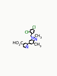 Cc1cc(-c2cc(C(=O)O)ccn2)cc2c1nc(C)n2Cc1ccc(Cl)cc1Cl